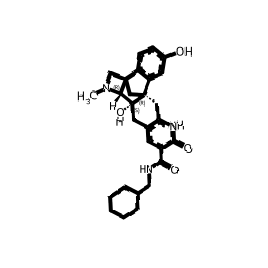 CN1CC23C[C@@]4(Cc5[nH]c(=O)c(C(=O)NCC6CCCCC6)cc5C[C@@]4(O)[C@H]12)c1cc(O)ccc13